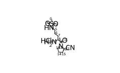 CS(=O)(=O)NCCC[C@H](N)C(=O)N1CCC[C@H]1C#N.Cl